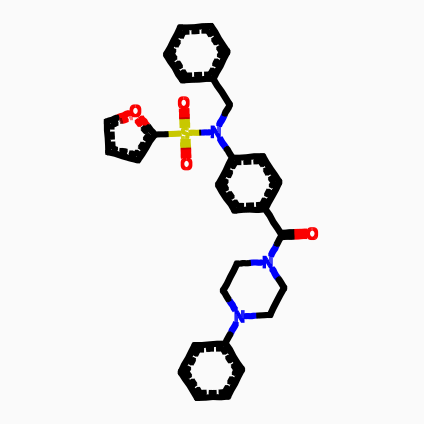 O=C(c1ccc(N(Cc2ccccc2)S(=O)(=O)c2ccco2)cc1)N1CCN(c2ccccc2)CC1